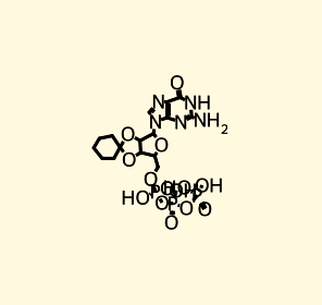 Nc1nc2c(ncn2C2OC(COP(=O)(O)OP(=O)(O)OP(=O)(O)O)C3OC4(CCCCC4)OC32)c(=O)[nH]1